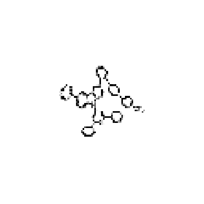 FC(F)(F)c1ccc(-c2ccc3c4ccccc4c4cc5c6cc(-c7ccccc7)ccc6n(-c6cc(-c7ccccc7)nc(-c7ccccc7)c6)c5cc4c3c2)cc1